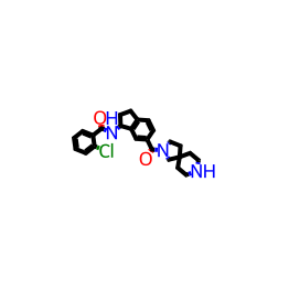 O=C(NC1CCc2ccc(C(=O)N3CCC4(CCNCC4)C3)cc21)c1ccccc1Cl